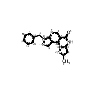 Cc1cc2[nH]c(=O)c3cnc4c(cnn4Cc4ccccc4)c3n2n1